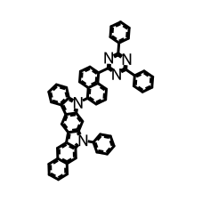 c1ccc(-c2nc(-c3ccccc3)nc(-c3cccc4c(-n5c6ccccc6c6cc7c8cc9ccccc9cc8n(-c8ccccc8)c7cc65)cccc34)n2)cc1